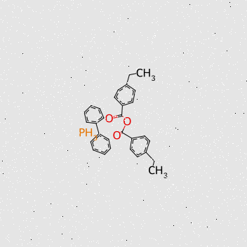 CCc1ccc(C(=O)OC(=O)c2ccc(CC)cc2)cc1.P.c1ccc(-c2ccccc2)cc1